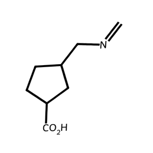 C=NCC1CCC(C(=O)O)C1